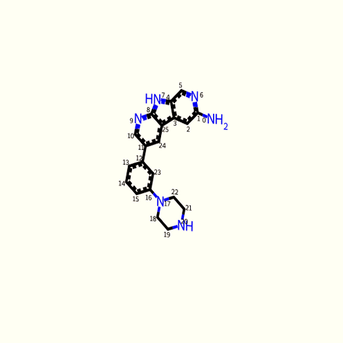 Nc1cc2c(cn1)[nH]c1ncc(-c3cccc(N4CCNCC4)c3)cc12